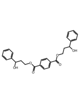 O=C(OCCC(O)c1ccccc1)c1ccc(C(=O)OCCC(O)c2ccccc2)cc1